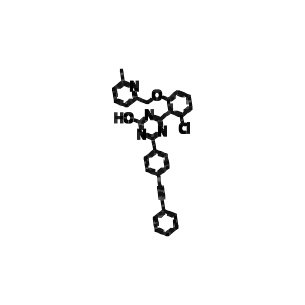 Cc1cccc(COc2cccc(Cl)c2-c2nc(O)nc(-c3ccc(C#Cc4ccccc4)cc3)n2)n1